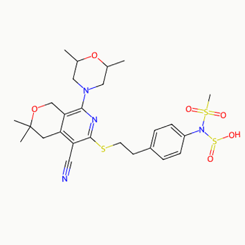 CC1CN(c2nc(SCCc3ccc(N(S(=O)O)S(C)(=O)=O)cc3)c(C#N)c3c2COC(C)(C)C3)CC(C)O1